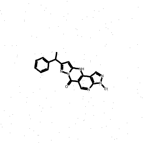 CCn1ncc2c3[nH]c4cc(C(C)c5ccccc5)nn4c(=O)c3cnc21